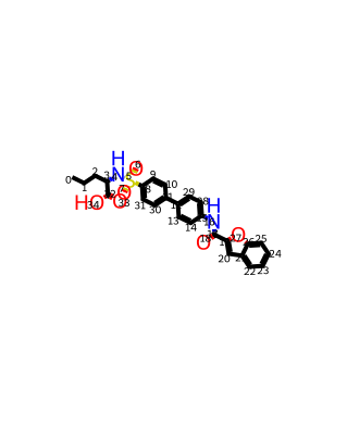 CCCC(NS(=O)(=O)c1ccc(-c2ccc(NC(=O)c3cc4ccccc4o3)cc2)cc1)C(=O)O